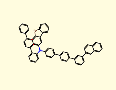 c1ccc(-c2ccc(-c3ccccc3N(c3ccc(-c4ccc(-c5cccc(-c6ccc7ccccc7c6)c5)cc4)cc3)c3ccc4sc5ccccc5c4c3)cc2)cc1